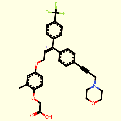 Cc1cc(OC/C=C(\c2ccc(C#CCN3CCOCC3)cc2)c2ccc(C(F)(F)F)cc2)ccc1OCC(=O)O